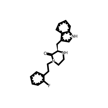 O=C1[C@@H](Cc2c[nH]c3ccccc23)NCCN1CCc1ccccc1F